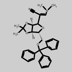 CN(C)C=C(C#N)C1O[C@H](COC(c2ccccc2)(c2ccccc2)c2ccccc2)[C@H]2OC(C)(C)O[C@@H]12